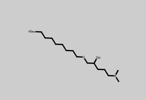 CCCCCCCCCCCCCCCCCCOCC(O)C[CH]CN(C)C